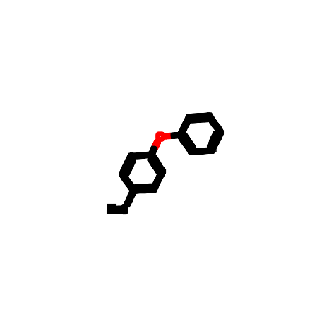 CSc1ccc(Oc2c[c]ccc2)cc1